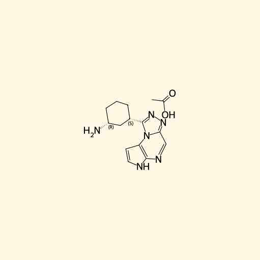 CC(=O)O.N[C@@H]1CCC[C@H](c2nnc3cnc4[nH]ccc4n23)C1